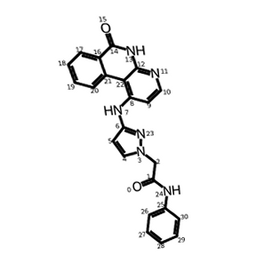 O=C(Cn1ccc(Nc2ccnc3[nH]c(=O)c4ccccc4c23)n1)Nc1ccccc1